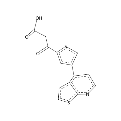 O=C(O)CC(=O)c1cc(-c2ccnc3sccc23)cs1